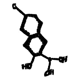 OB(O)c1cc2ccc(Cl)cc2cc1O